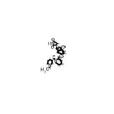 CCN1CCC[C@@H](C(=O)N2CCCC[C@@H]2COc2ccc3c(c2)CN(C2CCC(=O)NC2=O)C3=O)C1